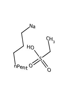 CCCCCCC[CH2][Na].CCS(=O)(=O)O